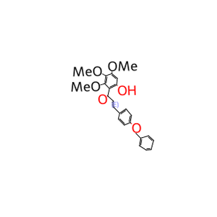 COc1cc(O)c(C(=O)/C=C/c2ccc(OCc3ccccc3)cc2)c(OC)c1OC